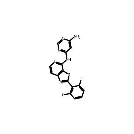 Nc1cc(Nc2nccc3nc(-c4c(F)cccc4Cl)sc23)ncn1